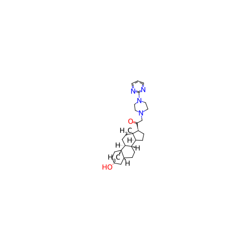 C[C@]12CC[C@@H](O)C[C@H]1CC[C@@H]1[C@@H]2CC[C@]2(C)[C@@H](C(=O)CN3CCN(c4ncccn4)CC3)CC[C@@H]12